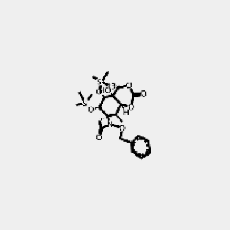 CC(C)(C)[Si](C)(C)O[C@H]1[C@@H](O[Si](C)(C)C)[C@@]2(CC(=O)N2OCc2ccccc2)[C@H](I)[C@H]2OC(=O)OC[C@]21O